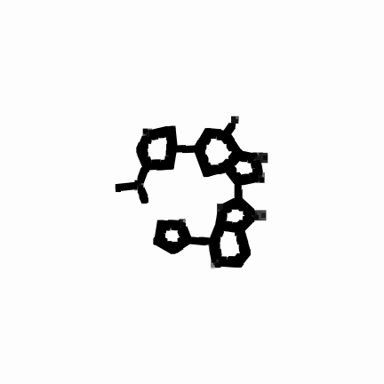 CN(C)c1cncc(-c2cc(F)c3[nH]nc(-c4nc5c(-c6cccs6)nccc5[nH]4)c3c2)c1